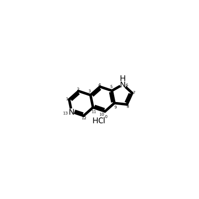 Cl.c1cc2cc3[nH]ccc3cc2cn1